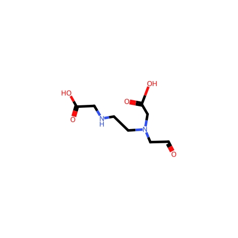 O=CCN(CCNCC(=O)O)CC(=O)O